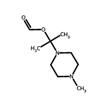 CN1CCN(C(C)(C)OC=O)CC1